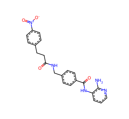 Nc1ncccc1NC(=O)c1ccc(CNC(=O)CCc2ccc([N+](=O)[O-])cc2)cc1